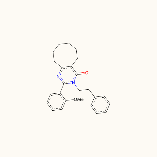 COc1ccccc1-c1nc2c(c(=O)n1CCc1ccccc1)CCCCCC2